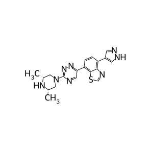 C[C@@H]1CN(c2ncc(-c3ccc(-c4cn[nH]c4)c4ncsc34)nn2)C[C@H](C)N1